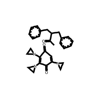 CC(=O)C(Cc1ccccc1)Cc1ccccc1.O=C1C=C(N2CC2)C(=O)C(N2CC2)=C1N1CC1